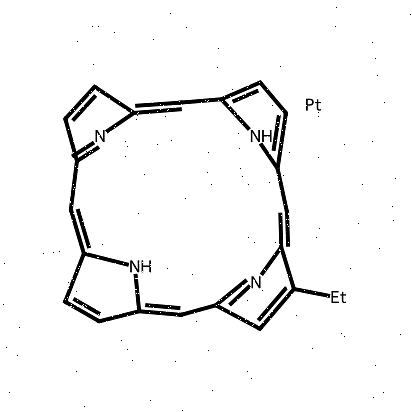 CCC1=Cc2cc3ccc(cc4nc(cc5ccc(cc1n2)[nH]5)C=C4)[nH]3.[Pt]